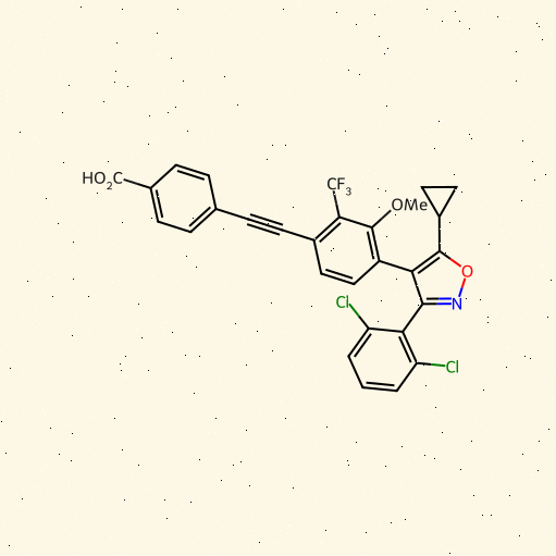 COc1c(-c2c(-c3c(Cl)cccc3Cl)noc2C2CC2)ccc(C#Cc2ccc(C(=O)O)cc2)c1C(F)(F)F